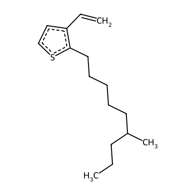 C=Cc1ccsc1CCCCCC(C)CCC